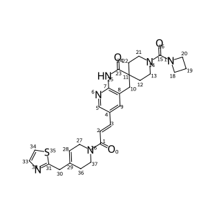 O=C(/C=C/c1cnc2c(c1)CC1(CCN(C(=O)N3CCC3)CC1)C(=O)N2)N1CC=C(Cc2nccs2)CC1